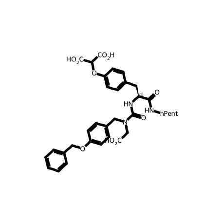 CCCCCNC(=O)[C@H](Cc1ccc(OC(C(=O)O)C(=O)O)cc1)NC(=O)N(CC(=O)O)Cc1ccc(OCc2ccccc2)cc1